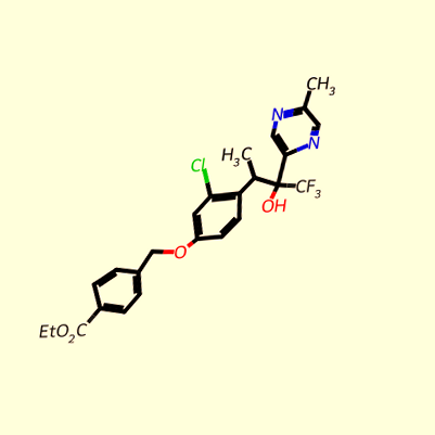 CCOC(=O)c1ccc(COc2ccc(C(C)C(O)(c3cnc(C)cn3)C(F)(F)F)c(Cl)c2)cc1